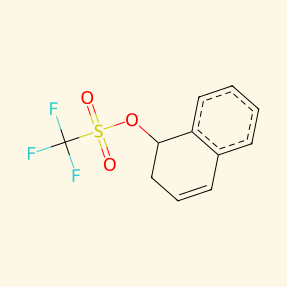 O=S(=O)(OC1CC=Cc2ccccc21)C(F)(F)F